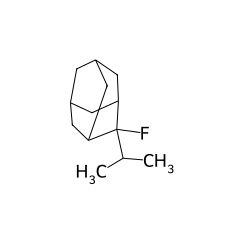 CC(C)C1(F)C2CC3CC(C2)CC1C3